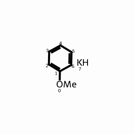 COc1ccccc1.[KH]